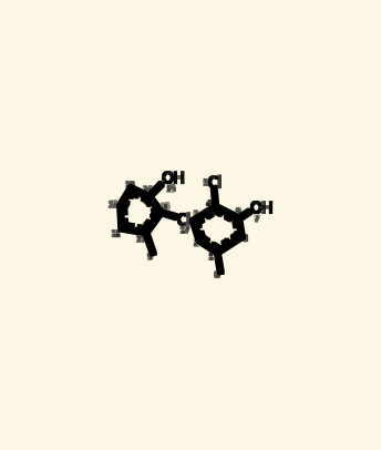 Cc1ccc(Cl)c(O)c1.Cc1cccc(O)c1Cl